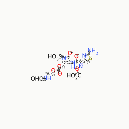 Nc1nc(/C(=N/OCC(=O)O)C(=O)NC2C(=O)N(S(=O)(=O)O)C2COC(=O)OCCNC=O)cs1